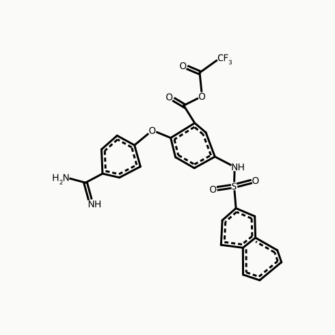 N=C(N)c1ccc(Oc2ccc(NS(=O)(=O)c3ccc4ccccc4c3)cc2C(=O)OC(=O)C(F)(F)F)cc1